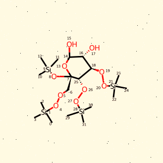 C[Si](C)(C)OOC[C@@]1(O[Si](C)(C)C)OC(O)[C@H](O)[C@@H](OO[Si](C)(C)C)[C@@H]1OO[Si](C)(C)C